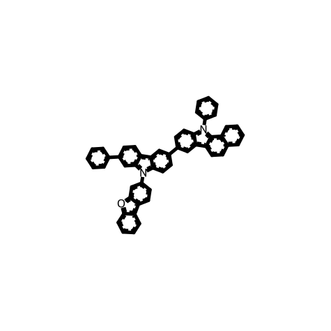 c1ccc(-c2ccc3c4cc(-c5ccc6c(c5)c5ccc7ccccc7c5n6-c5ccccc5)ccc4n(-c4ccc5c(c4)oc4ccccc45)c3c2)cc1